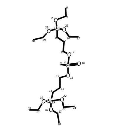 CCO[Si](CCCOP(C)(=O)OCCC[Si](OCC)(OCC)OCC)(OCC)OCC